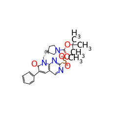 CC(C)(C)OC(=O)N1CC[C@@H](Cn2c(=O)c(-c3ccccc3)cc3cnc(S(C)(=O)=O)nc32)C1